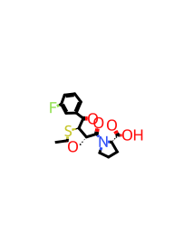 CC(=O)S[C@@H](C(=O)c1cccc(F)c1)[C@@H](C)C(=O)N1CCC[C@H]1C(=O)O